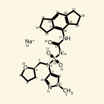 Cn1cc(N(C[C@H]2CCCO2)S(=O)(=O)[N-]C(=O)Nc2c3c(cc4c2CCC4)CCC3)cn1.[Na+]